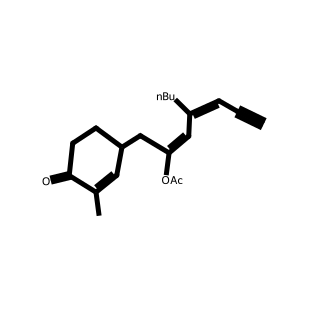 C#C/C=C(\C=C(/CC1C=C(C)C(=O)CC1)OC(C)=O)CCCC